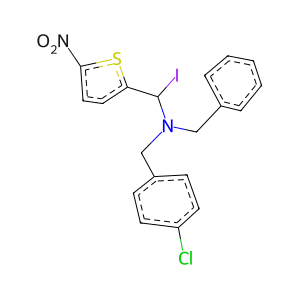 O=[N+]([O-])c1ccc(C(I)N(Cc2ccccc2)Cc2ccc(Cl)cc2)s1